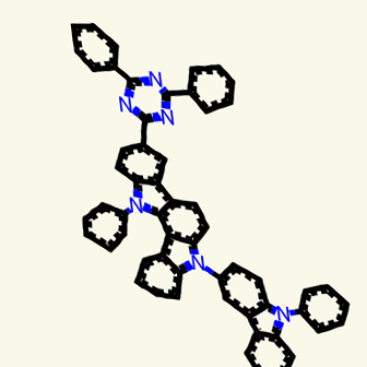 c1ccc(-c2nc(-c3ccccc3)nc(-c3ccc4c(c3)c3ccc5c(c6ccccc6n5-c5ccc6c(c5)c5ccccc5n6-c5ccccc5)c3n4-c3ccccc3)n2)cc1